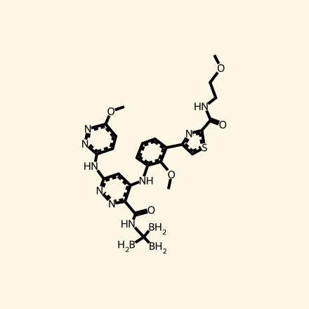 BC(B)(B)NC(=O)c1nnc(Nc2ccc(OC)nn2)cc1Nc1cccc(-c2csc(C(=O)NCCOC)n2)c1OC